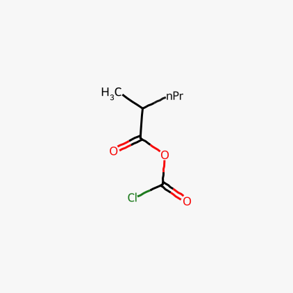 CCCC(C)C(=O)OC(=O)Cl